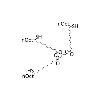 CCCCCCCCC(S)CCCCCCCCC(=O)OCC(COC(=O)CCCCCCCCC(S)CCCCCCCC)OC(=O)CCCCCCCCC(S)CCCCCCCC